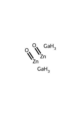 [GaH3].[GaH3].[O]=[Zn].[O]=[Zn]